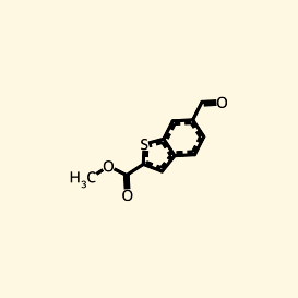 COC(=O)c1cc2ccc(C=O)cc2s1